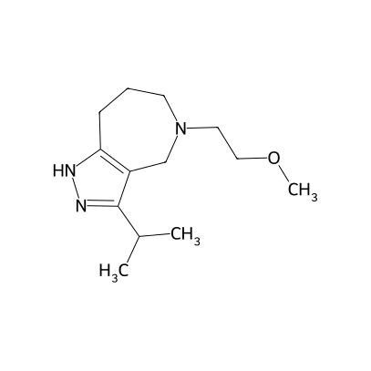 COCCN1CCCc2[nH]nc(C(C)C)c2C1